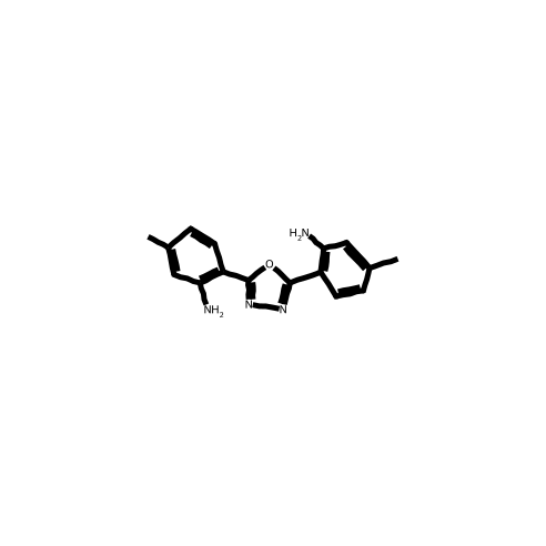 Cc1ccc(-c2nnc(-c3ccc(C)cc3N)o2)c(N)c1